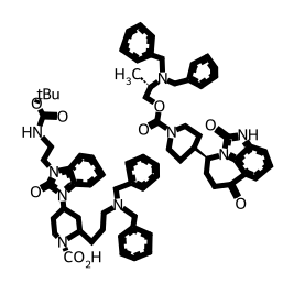 CC(C)(C)OC(=O)NCCn1c(=O)n(C2CCN(C(=O)O)C(CCCN(Cc3ccccc3)Cc3ccccc3)C2)c2ccccc21.C[C@@H](COC(=O)N1CCC([C@@H]2CCC(=O)c3cccc4[nH]c(=O)n2c34)CC1)N(Cc1ccccc1)Cc1ccccc1